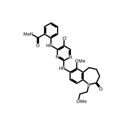 CNC(=O)c1ccccc1Nc1nc(Nc2ccc3c(c2OC)CCCC(=O)N3CCOC)ncc1Cl